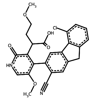 COCCC(C(=O)O)c1c(-c2cc3c(cc2C#N)Cc2cccc(Cl)c2-3)c(OC)c[nH]c1=O